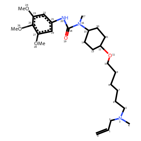 C=CCN(C)CCCCCCOC1CCC(N(C)C(=O)Nc2cc(OC)c(OC)c(OC)c2)CC1